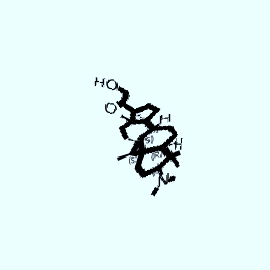 C[C@@H]1C23CC[C@H](N(C)C)C(C)(C)[C@@H]2CC[C@@H]2[C@]13CC[C@]1(C)C(C(=O)CO)=CC[C@@]21C